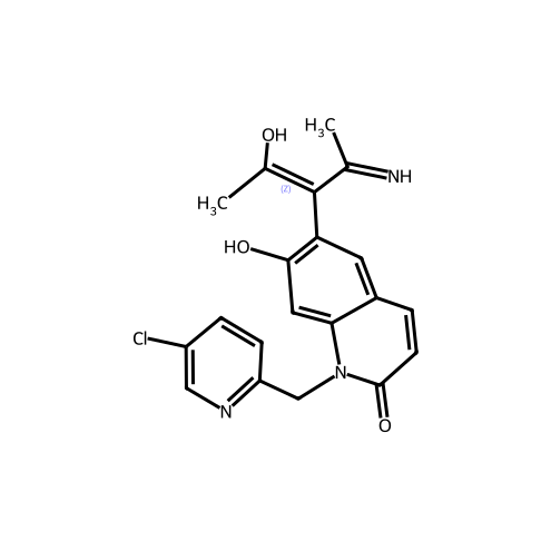 CC(=N)/C(=C(/C)O)c1cc2ccc(=O)n(Cc3ccc(Cl)cn3)c2cc1O